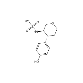 CC(C)S(=O)(=O)N[C@H]1COCC[C@@H]1c1ccc(O)cc1